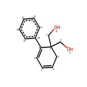 OCC1(CO)CC=CC=C1c1ccccc1